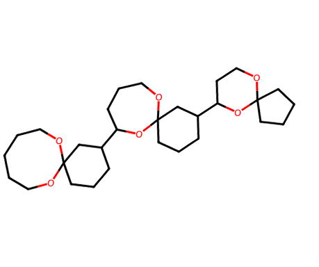 C1CCOC2(CCCC(C3CCCOC4(CCCC(C5CCOC6(CCCC6)O5)C4)O3)C2)OCC1